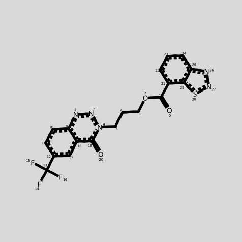 O=C(OCCCn1nnc2ccc(C(F)(F)F)cc2c1=O)c1cccc2nnsc12